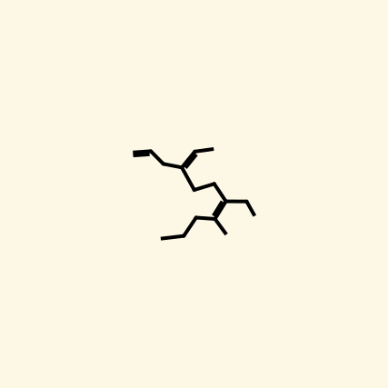 C=CCC(=CC)CCC(CC)=C(C)CCC